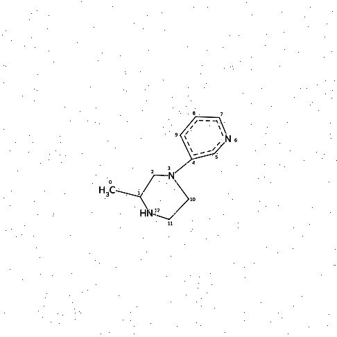 CC1CN(c2[c]nccc2)CCN1